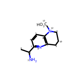 CC(N)c1ccc2c(n1)CCCN2C(=O)O